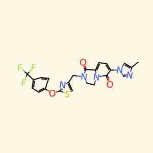 Cc1cn(-c2ccc3n(c2=O)CCN(Cc2csc(Oc4ccc(C(F)(F)F)cc4)n2)C3=O)cn1